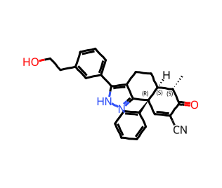 C[C@@H]1C(=O)C(C#N)=C[C@]2(c3ccccc3)c3n[nH]c(-c4cccc(CCO)c4)c3CC[C@@H]12